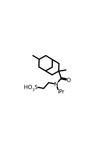 CC1CC2CC(C1)CC(C)(C(=O)N(CCS(=O)(=O)O)C(C)C)C2